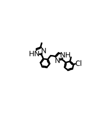 Cc1c[nH]c(-c2ccccc2Cc2c[nH]c(-c3cccc(Cl)c3C)n2)n1